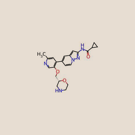 Cc1cc(-c2ccn3nc(NC(=O)C4CC4)cc3c2)c(OC[C@H]2CNCCO2)cn1